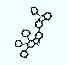 c1ccc(-c2cc3oc4ccc(-c5ccc6c(c5)c5ccccc5n6-c5ccccc5)cc4c3c(-c3ccccc3)c2-c2ccccc2)cc1